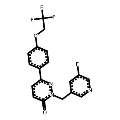 O=c1ccc(-c2ccc(OCC(F)(F)F)cc2)nn1Cc1cncc(F)c1